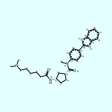 CN(C)CCCCCC(=O)N[C@H]1CC[C@@H](C(=O)N(C)c2ccc(-c3nc4ccccc4o3)cc2)C1